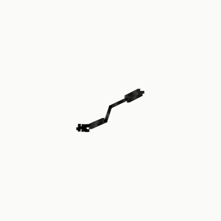 [C]#CCC=[CH]